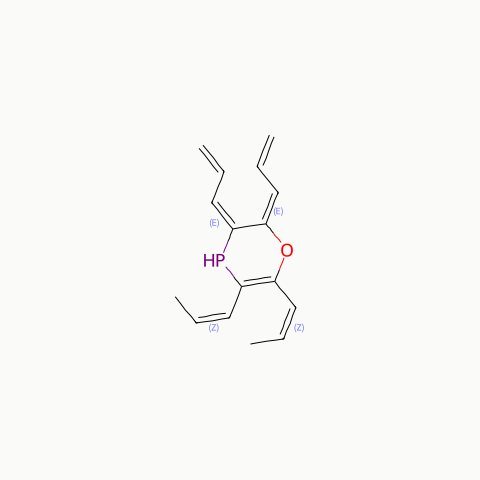 C=C/C=C1/OC(/C=C\C)=C(/C=C\C)P/C1=C/C=C